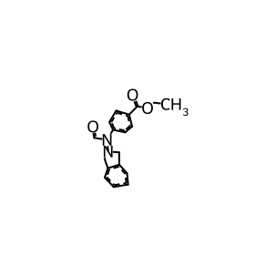 CCOC(=O)c1ccc(N(C=O)N2Cc3ccccc3C2)cc1